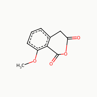 COc1cccc2c1C(=O)OC(=O)C2